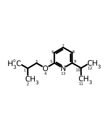 CC(C)COc1cccc(C(C)C)n1